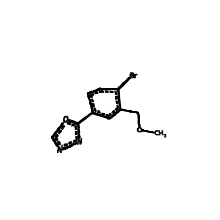 COCc1cc(-c2nnco2)ccc1Br